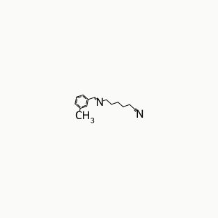 Cc1cccc(C=NCCCCCC#N)c1